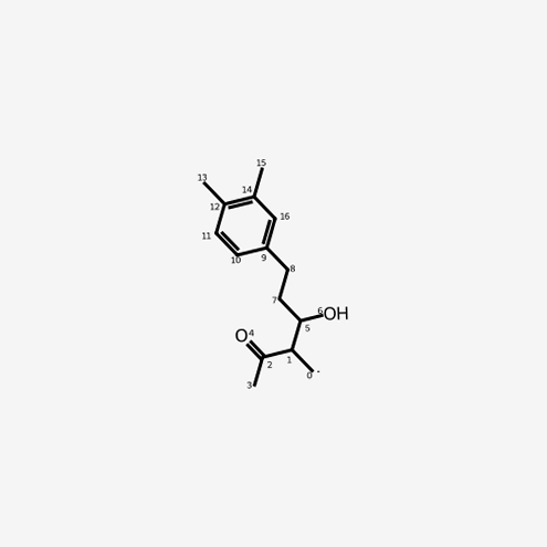 [CH2]C(C(C)=O)C(O)CCc1ccc(C)c(C)c1